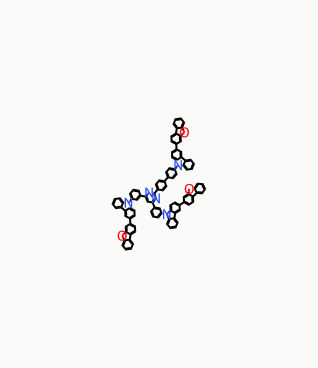 c1cc(-c2cc(-c3cccc(-n4c5ccccc5c5cc(-c6ccc7c(c6)oc6ccccc67)ccc54)c3)nc(-c3ccc(-c4ccc(-n5c6ccccc6c6cc(-c7ccc8c(c7)oc7ccccc78)ccc65)cc4)cc3)n2)cc(-n2c3ccccc3c3cc(-c4ccc5c(c4)oc4ccccc45)ccc32)c1